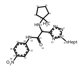 CCCCCCCn1nnc(C(NC2(C)CCCC2)C(=O)Nc2ccc([N+](=O)[O-])cc2)n1